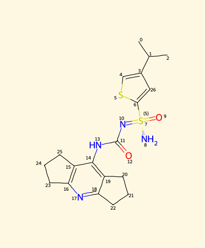 CC(C)c1csc([S@@](N)(=O)=NC(=O)Nc2c3c(nc4c2CCC4)CCC3)c1